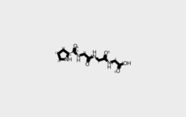 O=C(O)CNC(=O)CNC(=O)CNC(=O)[C@H]1CCCN1